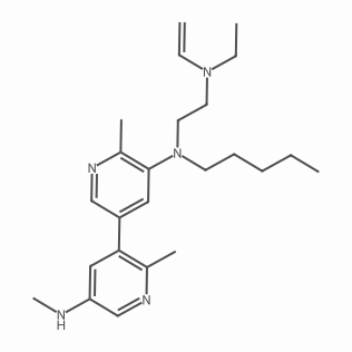 C=CN(CC)CCN(CCCCC)c1cc(-c2cc(NC)cnc2C)cnc1C